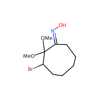 COC1(OC)/C(=N/O)CCCCCC1Br